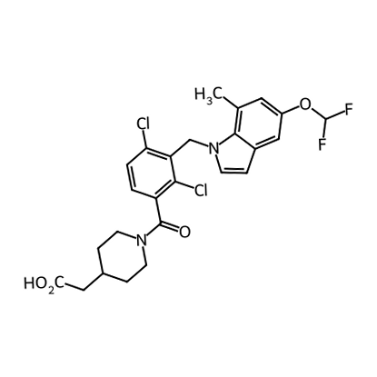 Cc1cc(OC(F)F)cc2ccn(Cc3c(Cl)ccc(C(=O)N4CCC(CC(=O)O)CC4)c3Cl)c12